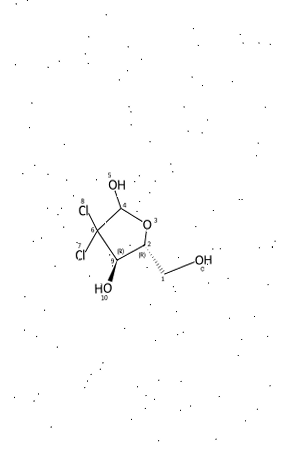 OC[C@H]1OC(O)C(Cl)(Cl)[C@@H]1O